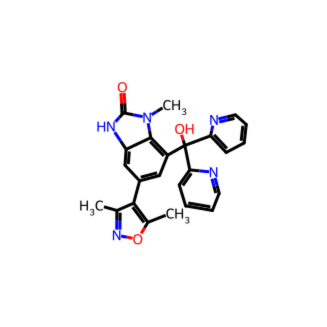 Cc1noc(C)c1-c1cc(C(O)(c2ccccn2)c2ccccn2)c2c(c1)[nH]c(=O)n2C